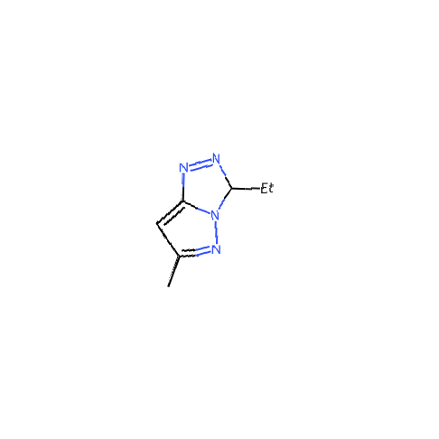 CCC1N=Nc2cc(C)nn21